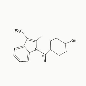 Cc1c(C(=O)O)c2ccccc2n1[C@H](C)C1CCC(O)CC1